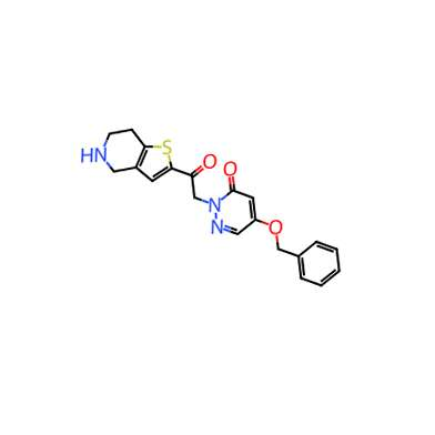 O=C(Cn1ncc(OCc2ccccc2)cc1=O)c1cc2c(s1)CCNC2